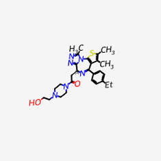 CCc1ccc(C2=N[C@@H](CC(=O)N3CCN(CCO)CC3)c3nnc(C)n3-c3sc(C)c(C)c32)cc1